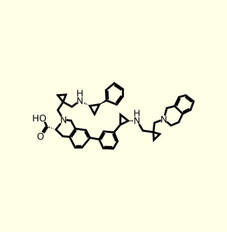 O=C(O)[C@H]1Cc2ccc(-c3cccc(C4C[C@@H]4NCC4(CN5CCc6ccccc6C5)CC4)c3)cc2CN1CC1(CN[C@H]2C[C@@H]2c2ccccc2)CC1